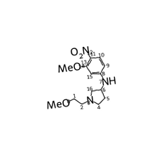 COCCN1CCC(Nc2ccc([N+](=O)[O-])c(OC)c2)C1